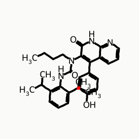 CCCCN(C(=O)Nc1c(C(C)C)cccc1C(C)C)c1c(-c2ccc(O)cc2)c2cccnc2[nH]c1=O